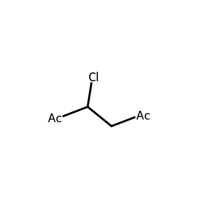 CC(=O)CC(Cl)C(C)=O